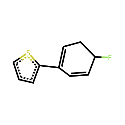 FC1C=CC(c2cccs2)=CC1